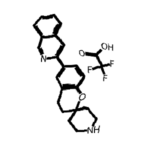 O=C(O)C(F)(F)F.c1ccc2cc(-c3ccc4c(c3)CCC3(CCNCC3)O4)ncc2c1